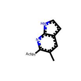 CC(=O)Nc1nc2[nH]ccc2cc1C